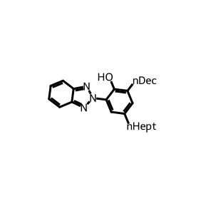 CCCCCCCCCCc1cc(CCCCCCC)cc(-n2nc3ccccc3n2)c1O